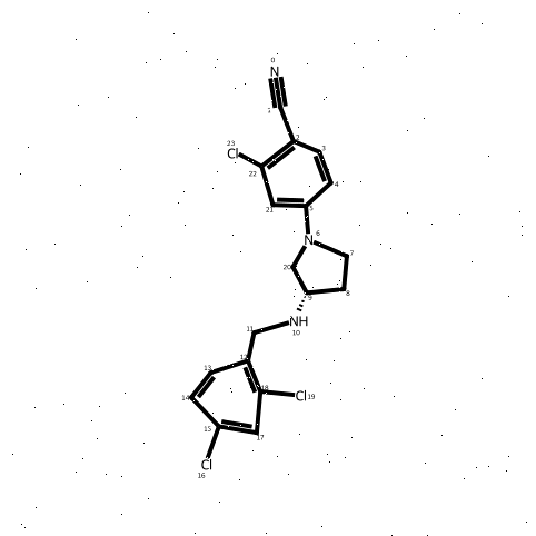 N#Cc1ccc(N2CC[C@H](NCc3ccc(Cl)cc3Cl)C2)cc1Cl